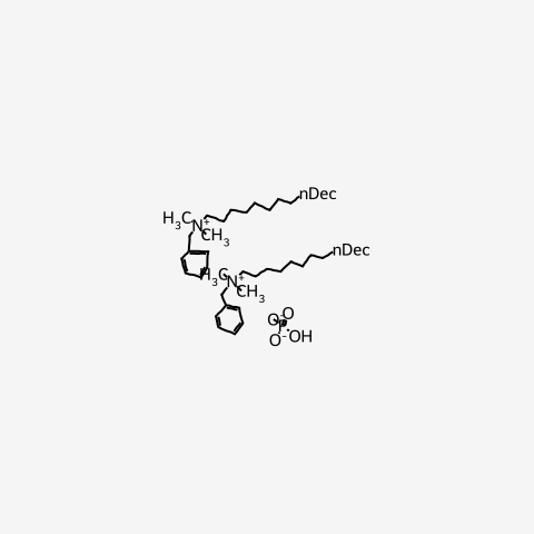 CCCCCCCCCCCCCCCCCC[N+](C)(C)Cc1ccccc1.CCCCCCCCCCCCCCCCCC[N+](C)(C)Cc1ccccc1.O=P([O-])([O-])O